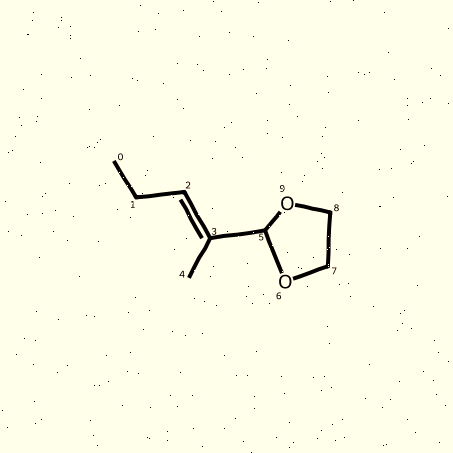 CC/C=C(\C)C1OCCO1